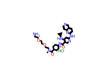 CN(CCOCCOCCN)C(=O)C1CCC(NC(=O)c2cnc(Nc3ccc4cnccc4n3)cc2NC2CC2)CC1.Cl